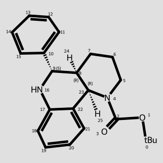 CC(C)(C)OC(=O)N1CCC[C@@H]2[C@@H](c3ccccc3)Nc3ccccc3[C@@H]21